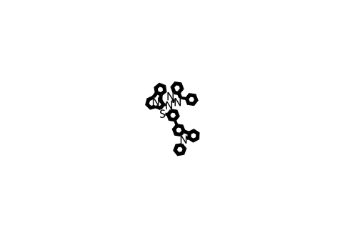 c1ccc(-c2nc(N3c4ccc(-c5ccc6c(c5)c5ccccc5n6-c5ccccc5)cc4Sc4c3c3c5ccccc5c5cccc4n53)nc3ccccc23)cc1